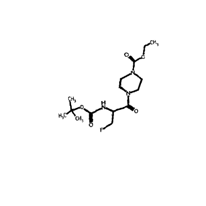 CCOC(=O)N1CCN(C(=O)C(CF)NC(=O)OC(C)(C)C)CC1